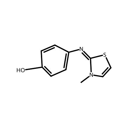 Cn1ccsc1=Nc1ccc(O)cc1